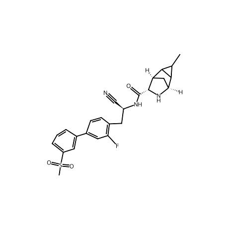 CC1C2C1[C@H]1C[C@@H]2N[C@@H]1C(=O)N[C@H](C#N)Cc1ccc(-c2cccc(S(C)(=O)=O)c2)cc1F